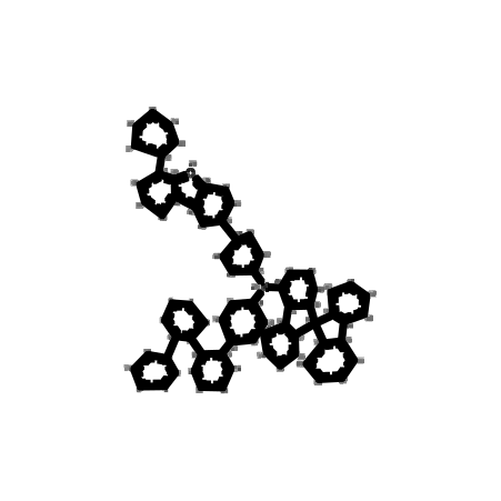 c1ccc(-c2ccccc2-c2ccccc2-c2ccc(N(c3ccc(-c4ccc5oc6c(-c7ccccc7)cccc6c5c4)cc3)c3cccc4c3-c3ccccc3C43c4ccccc4-c4ccccc43)cc2)cc1